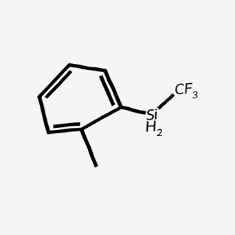 Cc1ccccc1[SiH2]C(F)(F)F